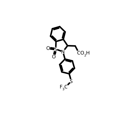 O=C(O)CC1c2ccccc2S(=O)(=O)N1c1ccc(SC(F)(F)F)cc1